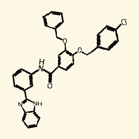 O=C(Nc1cccc(-c2nc3ccccc3[nH]2)c1)c1ccc(OCc2ccc(Cl)cc2)c(OCc2ccccc2)c1